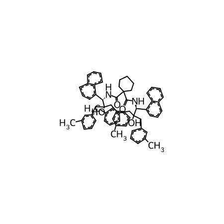 Cc1cccc(CC(O)(Cc2cccc(C)c2)[C@@H](NC(=O)C2(C(=O)N[C@@H](c3cccc4ccccc34)C(O)(Cc3cccc(C)c3)Cc3cccc(C)c3)CCCCC2)c2cccc3ccccc23)c1